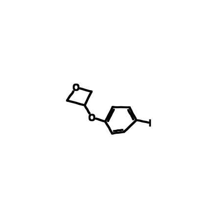 Ic1ccc(OC2COC2)cc1